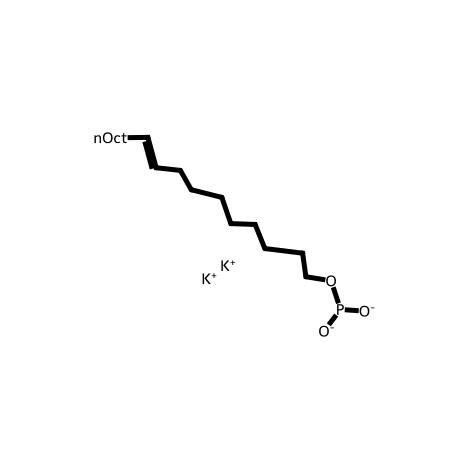 CCCCCCCCC=CCCCCCCCCOP([O-])[O-].[K+].[K+]